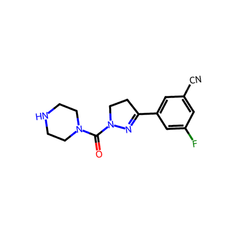 N#Cc1cc(F)cc(C2=NN(C(=O)N3CCNCC3)CC2)c1